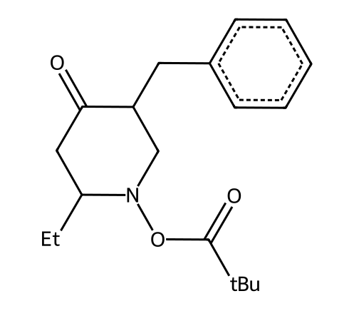 CCC1CC(=O)C(Cc2ccccc2)CN1OC(=O)C(C)(C)C